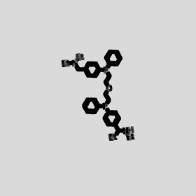 CCNC(CC)c1ccc(P(CCOCCP(c2ccccc2)c2ccc(CN(CC)CC)cc2)c2ccccc2)cc1